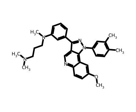 COc1ccc2ncc3c(-c4cccc(N(C)CCCN(C)C)c4)nn(-c4ccc(C)c(C)c4)c3c2c1